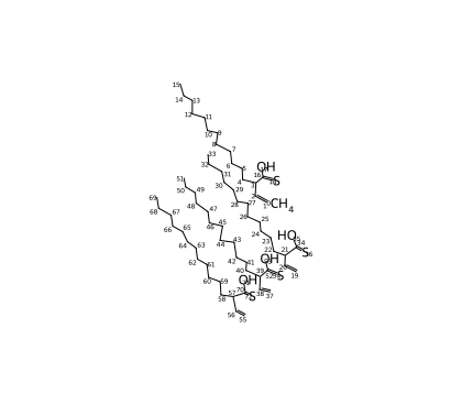 C.C=CC(CCCCCCCCCCCC)C(O)=S.C=CC(CCCCCCCCCCCC)C(O)=S.C=CC(CCCCCCCCCCCC)C(O)=S.C=CC(CCCCCCCCCCCC)C(O)=S